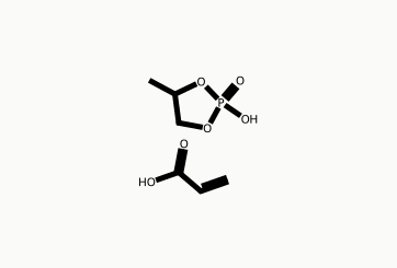 C=CC(=O)O.CC1COP(=O)(O)O1